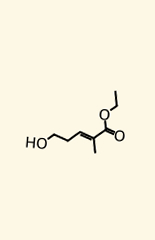 CCOC(=O)C(C)=CCCO